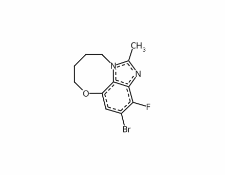 Cc1nc2c(F)c(Br)cc3c2n1CCCCO3